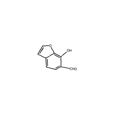 O=Cc1ccc2ccoc2c1O